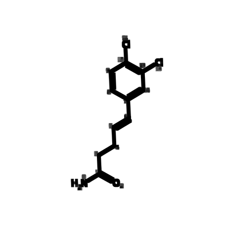 NC(=O)CCC=Cc1ccc(Cl)c(Cl)c1